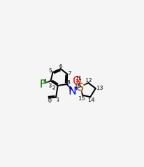 C=Cc1c(F)cccc1N=S1(=O)CCCC1